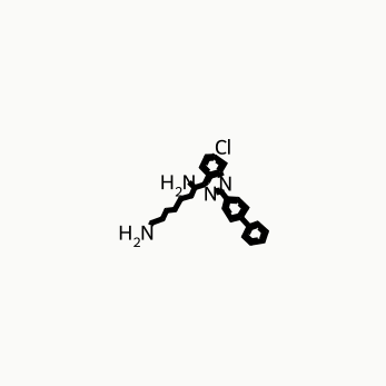 NCCCCCCC(N)c1nc(-c2ccc(-c3ccccc3)cc2)nc2cc(Cl)ccc12